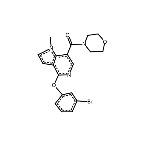 Cn1ccc2c(Oc3cccc(Br)c3)ncc(C(=O)N3CCOCC3)c21